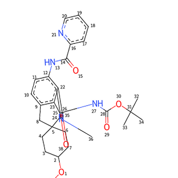 COC1CCC2(CC1)Cc1ccc(NC(=O)c3ccccn3)cc1C21N=C(NC(=O)OC(C)(C)C)N(C)C1=O